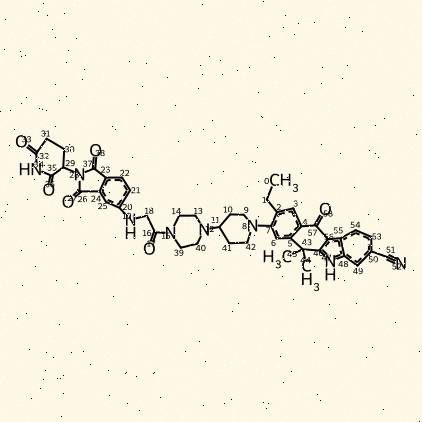 CCc1cc2c(cc1N1CCC(N3CCN(C(=O)CNc4ccc5c(c4)C(=O)N(C4CCC(=O)NC4=O)C5=O)CC3)CC1)C(C)(C)c1[nH]c3cc(C#N)ccc3c1C2=O